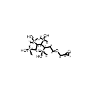 C[Si](C)(O)CC(C(C(CCOCC1CO1)[Si](C)(C)O)[Si](C)(C)O)[Si](C)(C)O